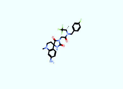 C[C@H](N(Cc1ccc(F)cc1)C(=O)CN1C(=O)NC2(CCN(C)c3cc(N)ccc32)C1=O)C(F)(F)F